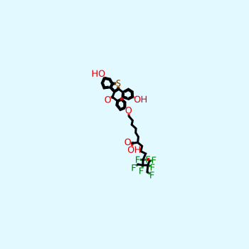 O=C(c1ccc(OCCCCCCC(CCCC(F)(F)C(F)(CF)C(F)(CF)CF)C(=O)O)cc1)c1c(-c2ccc(O)cc2)sc2cc(O)ccc12